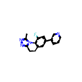 Cc1nnc2n1-c1c(F)cc(-c3cccnc3)cc1CC2